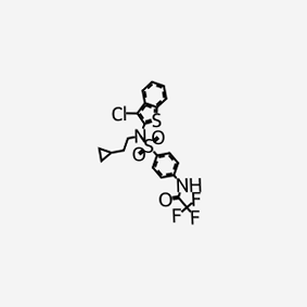 O=C(Nc1ccc(S(=O)(=O)N(CCC2CC2)c2sc3ccccc3c2Cl)cc1)C(F)(F)F